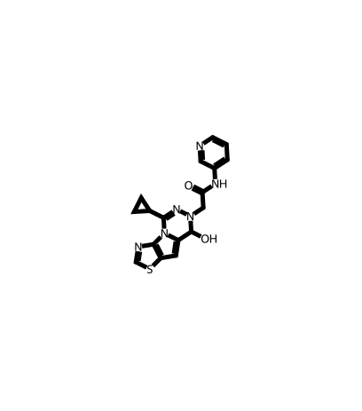 O=C(CN1N=C(C2CC2)n2c(cc3scnc32)C1O)Nc1cccnc1